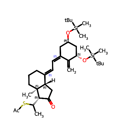 C=C1/C(=C\C=C2/CCC[C@]3(C)[C@@H](C(C)SC(C)=O)C(=O)C[C@@H]23)C[C@@H](O[Si](C)(C)C(C)(C)C)C[C@@H]1O[Si](C)(C)C(C)(C)C